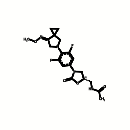 CON=C1CN(c2c(F)cc(N3C[C@H](CNC(C)=O)OC3=O)cc2F)CC12CC2